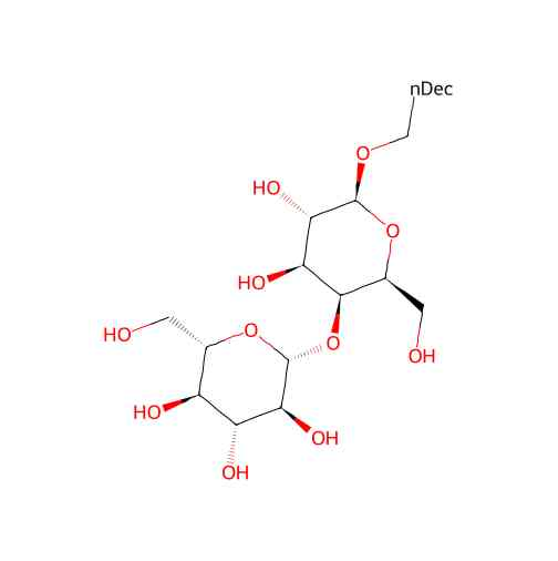 CCCCCCCCCCCO[C@H]1O[C@@H](CO)[C@@H](O[C@H]2O[C@@H](CO)[C@H](O)[C@@H](O)[C@@H]2O)[C@@H](O)[C@@H]1O